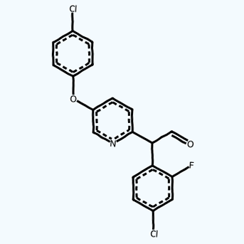 O=CC(c1ccc(Oc2ccc(Cl)cc2)cn1)c1ccc(Cl)cc1F